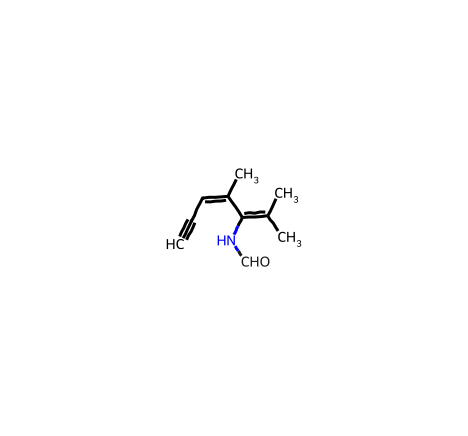 C#C/C=C(/C)C(NC=O)=C(C)C